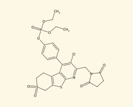 CCOP(=O)(OCC)Oc1ccc(-c2c(Cl)c(CN3C(=O)CCC3=O)nc3sc4c(c23)CCS(=O)(=O)C4)cc1